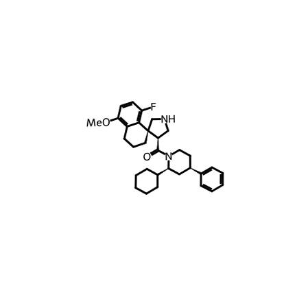 COc1ccc(F)c2c1CCC[C@]21CNC[C@H]1C(=O)N1CC[C@@H](c2ccccc2)C[C@H]1C1CCCCC1